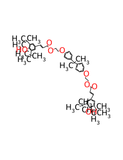 CC(C)(C)c1cc(C=CC(=O)OCCOc2ccc(C(C)(C)c3ccc(OCCOC(=O)C=Cc4cc(C(C)(C)C)c(O)c(C(C)(C)C)c4)cc3)cc2)cc(C(C)(C)C)c1O